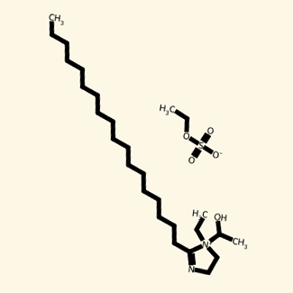 CCCCCCCCCCCCCCCCCCC1=NCC[N+]1(CC)C(C)O.CCOS(=O)(=O)[O-]